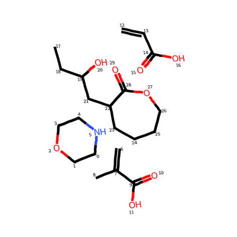 C1COCCN1.C=C(C)C(=O)O.C=CC(=O)O.CCC(O)CC1CCCCOC1=O